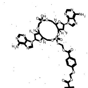 CC(C)(C)C(=O)OCOc1ccc(C(=O)OCSP2(=O)OC[C@H]3O[C@@H](n4cnc5c(N)ncnc54)[C@H](F)[C@@H]3OCP(=O)(O)OC[C@H]3O[C@@H](n4cnc5c(N)ncnc54)[C@H](F)[C@@H]3O2)cc1